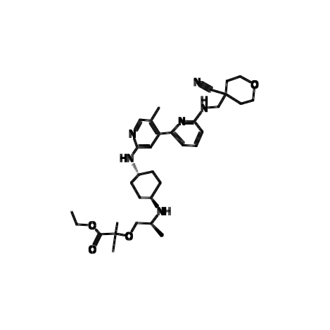 CCOC(=O)C(C)(C)OC[C@H](C)N[C@H]1CC[C@H](Nc2cc(-c3cccc(NCC4(C#N)CCOCC4)n3)c(C)cn2)CC1